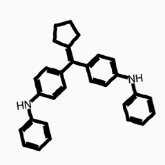 c1ccc(Nc2ccc(C(=C3CCCC3)c3ccc(Nc4ccccc4)cc3)cc2)cc1